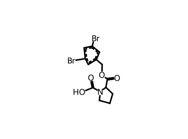 O=C(OCc1cc(Br)cc(Br)c1)C1CCCN1C(=O)O